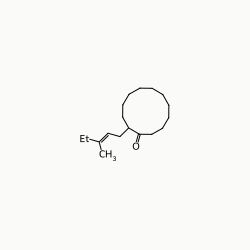 CC/C(C)=C/CC1CCCCCCCCCCC1=O